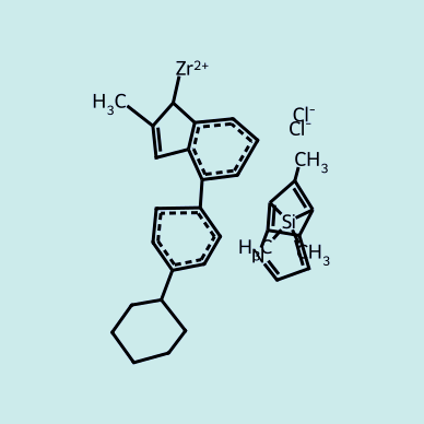 CC1=C2C3=CC=NC3=C1[Si]2(C)C.CC1=Cc2c(-c3ccc(C4CCCCC4)cc3)cccc2[CH]1[Zr+2].[Cl-].[Cl-]